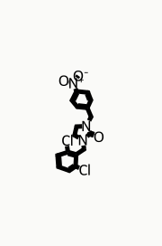 O=C1N(Cc2ccc([N+](=O)[O-])cc2)CCN1Cc1c(Cl)cccc1Cl